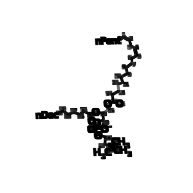 CCCCC/C=C\C/C=C\CCCCCCCCCC(=O)OC[C@H](COP(=O)([O-])OCC[N+](C)(C)C)OC(=O)CCCCCCCCCCCCCCC